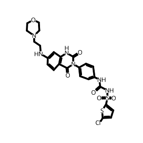 O=C(Nc1ccc(-n2c(=O)[nH]c3cc(NCCN4CCOCC4)ccc3c2=O)cc1)NS(=O)(=O)c1ccc(Cl)s1